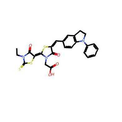 CCN1C(=O)/C(=c2\s/c(=C/c3ccc4c(c3)CCN4c3ccccc3)c(=O)n2CC(=O)O)SC1=S